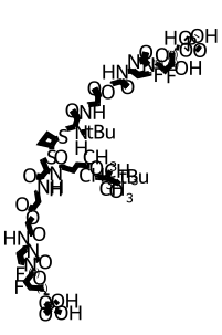 CC(C)(C)NC(CSC1CCC1SCC(NC(=O)CCC(C)(C)OCC(C)(C)C(=O)C(C)(C)C)C(=O)NCCC(=O)OCC(=O)Nc1ccn([C@@H]2O[C@H](COP(=O)(O)O)CC2(F)F)c(=O)n1)C(=O)NCCC(=O)OCC(=O)Nc1ccn([C@@H]2O[C@H](COP(=O)(O)O)[C@@H](O)C2(F)F)c(=O)n1